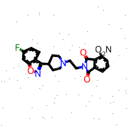 O=C1c2cccc([N+](=O)[O-])c2C(=O)N1CCN1CCC(c2noc3cc(F)ccc23)CC1